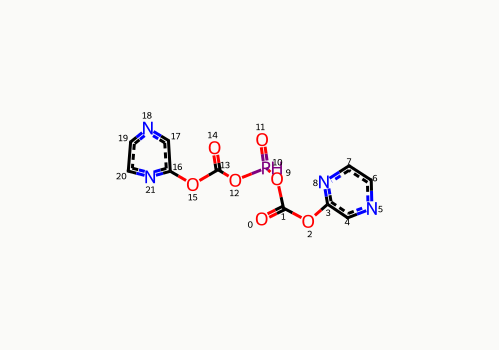 O=C(Oc1cnccn1)O[PH](=O)OC(=O)Oc1cnccn1